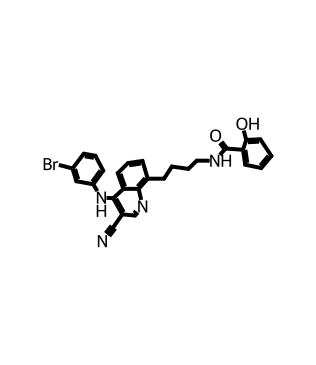 N#Cc1cnc2c(CCCCNC(=O)c3ccccc3O)cccc2c1Nc1cccc(Br)c1